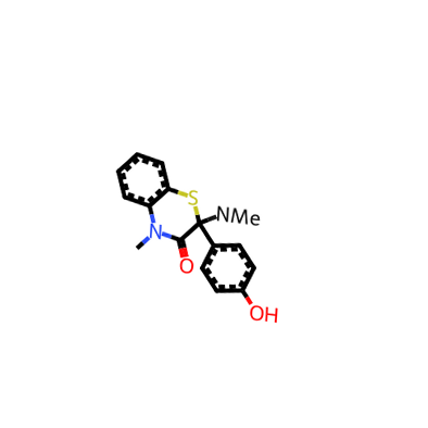 CNC1(c2ccc(O)cc2)Sc2ccccc2N(C)C1=O